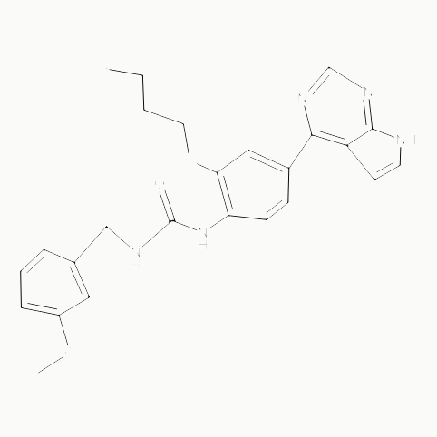 COc1cccc(CNC(=O)Nc2ccc(-c3ncnc4[nH]ccc34)cc2OCCCO)c1